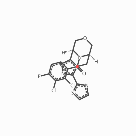 O=C(c1ccc(F)c(Cl)c1Cl)N1[C@H]2COC[C@@H]1c1nnc(-c3nccs3)n1C2